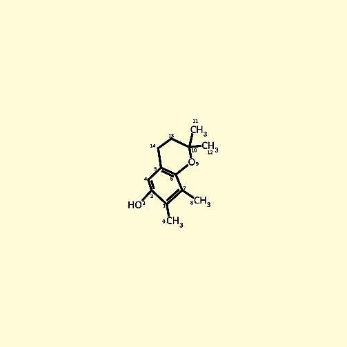 Cc1c(O)cc2c(c1C)OC(C)(C)CC2